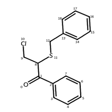 O=C(c1ccccc1)C(CCl)SCc1ccccc1